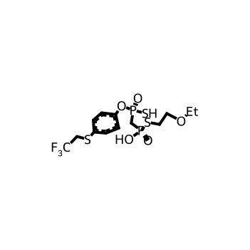 CCOCCSP(=O)(O)CP(=O)(S)Oc1ccc(SCC(F)(F)F)cc1